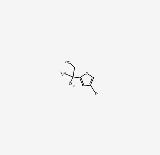 CC(N)(CO)c1cc(Br)cs1